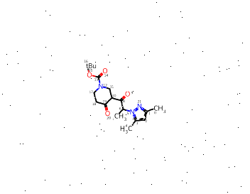 Cc1cc(C)n(C(C)C(=O)C2CN(C(=O)OC(C)(C)C)CCC2=O)n1